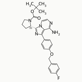 CC(C)(C)OC(=O)N1CCC[C@H]1c1nc(-c2ccc(OCc3ccc(F)cc3)cc2)c2c(N)nccn12